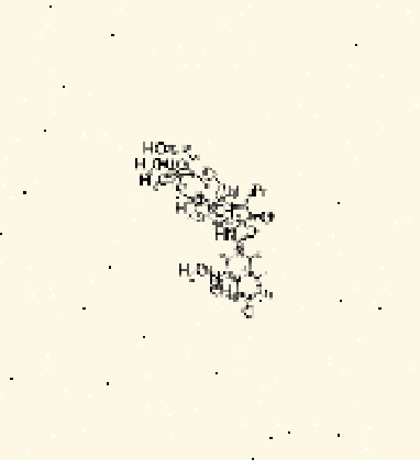 CC(C)C1=C2[C@H]3CC[C@@H]4[C@@]5(C)CC[C@H](O)C(C)(C)[C@@H]5CC[C@@]4(C)[C@]3(C)CC[C@@]2(NC(=O)N(CCN(C)C)Cc2ccc(Cl)cc2)CC1=O